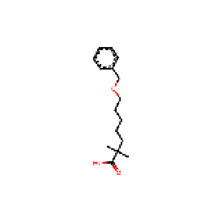 CC(C)(CCCCCOCc1ccccc1)C(=O)O